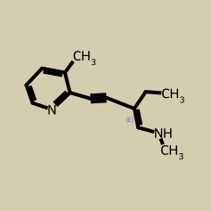 CC/C(C#Cc1ncccc1C)=C\NC